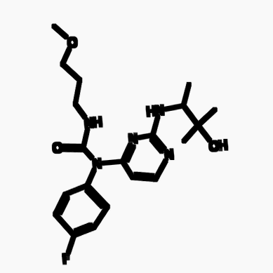 COCCCNC(=O)N(c1ccc(F)cc1)c1ccnc(NC(C)C(C)(C)O)n1